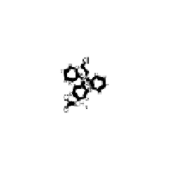 CC(=O)[O-].ClCC[P+](c1ccccc1)(c1ccccc1)c1ccccc1